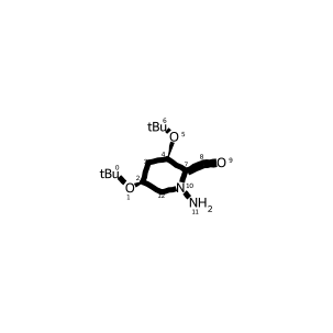 CC(C)(C)O[C@H]1C[C@@H](OC(C)(C)C)C(=C=O)N(N)C1